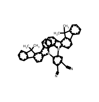 CC1(C)c2ccccc2-c2ccc3c(c21)c1ccccc1n3-c1cc(C#N)c(C#N)cc1-n1c2ccccc2c2c3c(ccc21)-c1ccccc1C3(C)C